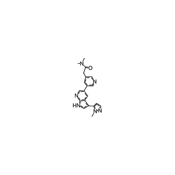 CN(C)C(=O)Cc1cncc(-c2cnc3[nH]cc(-c4ccnn4C)c3c2)c1